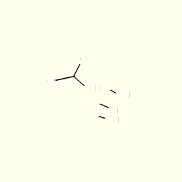 CO.CO.CO.ClC(Cl)Cl